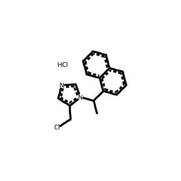 CC(c1cccc2ccccc12)n1cncc1CCl.Cl